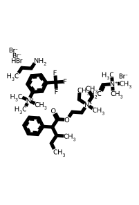 Br.C=C[N+](C)(C)C.CCC(C)C(C(=O)OCC[N+](C)(CC)CC)c1ccccc1.CCCN.C[N+](C)(C)c1cccc(C(F)(F)F)c1.[Br-].[Br-].[Br-]